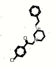 O=C(CN1CCC[C@@H](CCc2ccccc2)C1)c1ccc(Cl)cc1